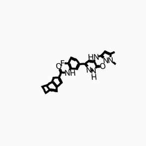 Cc1cc(Nc2cc(-c3ccc(F)c(NC(=O)C4=CC5=C(C4)C4CCC4=C5)c3)n[nH]c2=O)nn1C